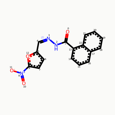 O=C(N/N=C\c1ccc([N+](=O)[O-])o1)c1cccc2ccccc12